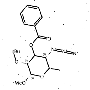 CCCCO[C@@H]1C(OC(=O)c2ccccc2)[C@H](N=[N+]=[N-])C(C)O[C@@H]1OC